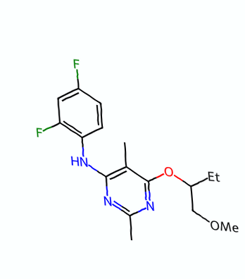 CCC(COC)Oc1nc(C)nc(Nc2ccc(F)cc2F)c1C